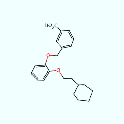 O=C(O)c1cccc(COc2ccccc2OCCC2CCCCC2)c1